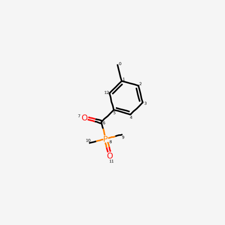 Cc1cccc(C(=O)P(C)(C)=O)c1